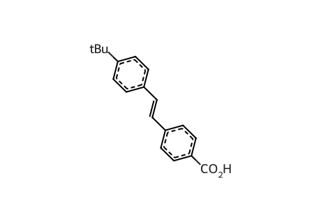 CC(C)(C)c1ccc(/C=C/c2ccc(C(=O)O)cc2)cc1